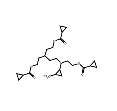 O=C(OCCN(CCOC(=O)C1CC1)CCN(CCOC(=O)C1CC1)C1CC1C(=O)O)C1CC1